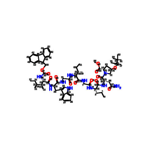 CCC[C@H](NC(=O)CNC(=O)[C@@H](NC(=O)CNC(=O)C(Cc1c[nH]c2ccccc12)NC(=O)[C@@H](NC(=O)OCC1c2ccccc2-c2ccccc21)[C@@H](C)[C@@H](C)CC)[C@@H](C)CC)C(=O)N[C@@H](CC(N)=O)C(=O)N1C[C@H](O[Si](C)(C)C(C)(C)C)C[C@H]1C(=O)OC